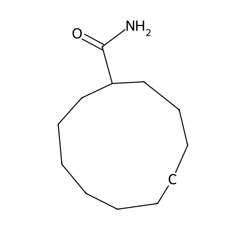 NC(=O)C1CCCCCCCCCC1